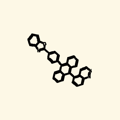 c1ccc2oc(-c3ccc(-c4c5ccccc5c(-c5cccc6nnccc56)c5ccccc45)cc3)nc2c1